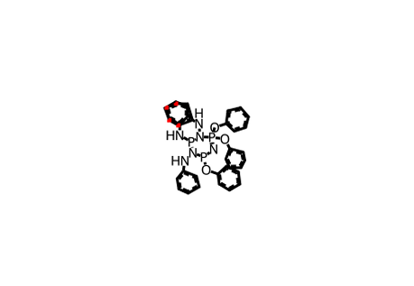 c1ccc(NN2P(Oc3ccccc3)N=P(Oc3ccccc3)(Oc3ccccc3)N(Nc3ccccc3)P2Nc2ccccc2)cc1